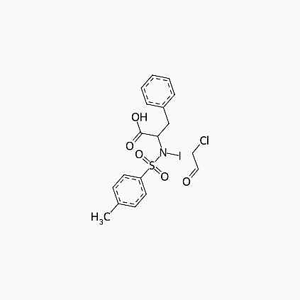 Cc1ccc(S(=O)(=O)N(I)C(Cc2ccccc2)C(=O)O)cc1.O=CCCl